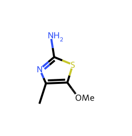 COc1sc(N)nc1C